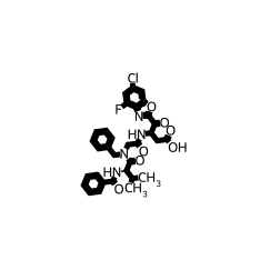 CC(C)[C@H](NC(=O)c1ccccc1)C(=O)N(CC(=O)NC(CC(=O)O)C(=O)c1nc2c(F)cc(Cl)cc2o1)Cc1ccccc1